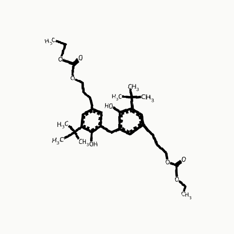 CCOC(=O)OCCCc1cc(Cc2cc(CCCOC(=O)OCC)cc(C(C)(C)C)c2O)c(O)c(C(C)(C)C)c1